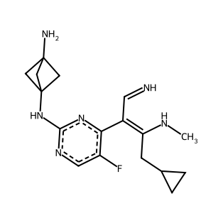 CN/C(CC1CC1)=C(\C=N)c1nc(NC23CC(N)(C2)C3)ncc1F